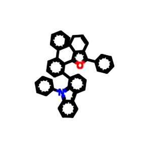 c1cccc(-c2cccc(-c3cccc4c5ccccc5n(-c5ccccc5)c34)c2-c2oc(-c3ccccc3)c3c2CCC=C3)c#1